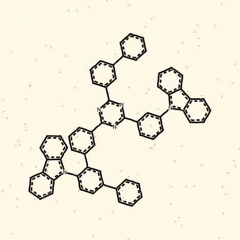 c1ccc(-c2cccc(-c3nc(-c4cccc(-c5cc(-c6ccccc6)ccc5-n5c6ccccc6c6ccccc65)c4)nc(-c4cccc(-n5c6ccccc6c6ccccc65)c4)n3)c2)cc1